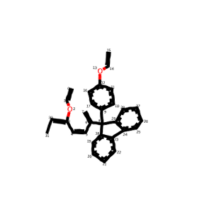 C=COC(/C=C\C(=C)C1(c2ccc(OC=C)cc2)c2ccccc2-c2ccccc21)=C/C